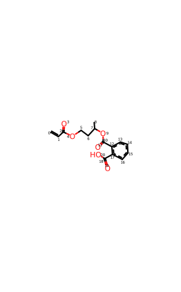 C=CC(=O)OCCC(C)OC(=O)c1ccccc1C(=O)O